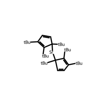 CC(C)(C)C1=C(C(C)(C)C)[C]([Sr][C]2(C(C)(C)C)C=CC(C(C)(C)C)=C2C(C)(C)C)(C(C)(C)C)C=C1